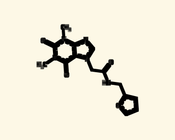 Cn1c(=O)c2c(ncn2CC(=O)NCc2ccco2)n(C)c1=O